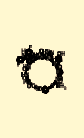 C[C@@H]1NC(=O)CCSCc2cccc(c2)CSC[C@@H](C(N)=O)NC(=O)[C@@H]2CCCN2C(=O)[C@H](Cc2ccc(O)cc2)NC(=O)[C@H](Cc2c[nH]cn2)NC(=O)[C@H](CC(=O)O)NC(=O)[C@H](Cc2c[nH]c3ccc(F)cc23)NC(=O)[C@H](CCc2c[nH]c3ccc(F)cc23)NC(=O)CNC1=O